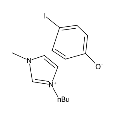 CCCC[n+]1ccn(C)c1.[O-]c1ccc(I)cc1